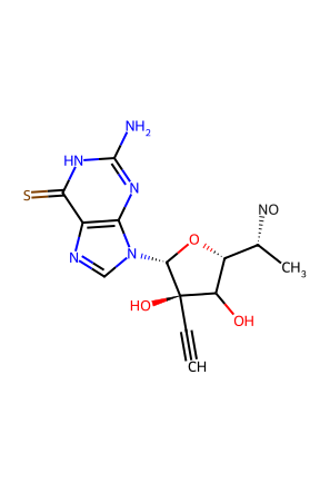 C#C[C@@]1(O)C(O)[C@@H]([C@@H](C)N=O)O[C@H]1n1cnc2c(=S)[nH]c(N)nc21